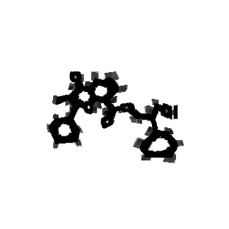 Cc1c(-c2ccccc2)oc2c(C(=O)OCC(CO)c3ccccc3)cccc2c1=O